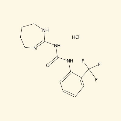 Cl.O=C(NC1=NCCCCN1)Nc1ccccc1C(F)(F)F